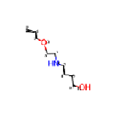 C=CCOCCNCCCCO